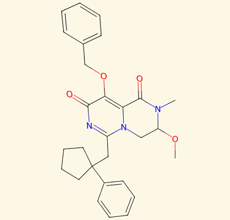 COC1Cn2c(CC3(c4ccccc4)CCCC3)nc(=O)c(OCc3ccccc3)c2C(=O)N1C